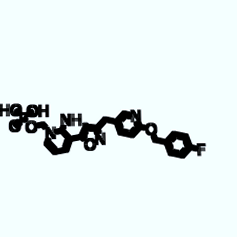 NC1C(c2cc(Cc3ccc(OCc4ccc(F)cc4)nc3)no2)=CC=CN1COP(=O)(O)O